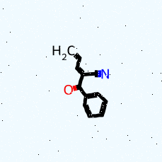 C=CC=C(C#N)C(=O)c1ccccc1